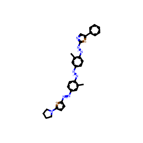 Cc1cc(/N=N/c2ccc(N3CCCC3)s2)ccc1/N=N/c1ccc(/N=N/c2ncc(-c3ccccc3)s2)c(C)c1